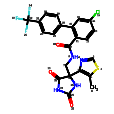 Cc1scnc1C1(CNC(=O)c2ccc(Cl)cc2-c2ccc(C(F)(F)F)cc2)NC(=O)NC1=O